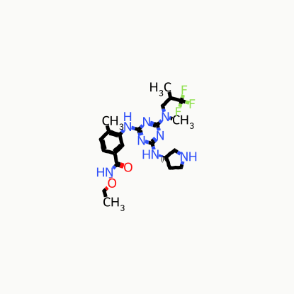 CCONC(=O)c1ccc(C)c(Nc2nc(N[C@@H]3CCNC3)nc(N(C)CC(C)C(F)(F)F)n2)c1